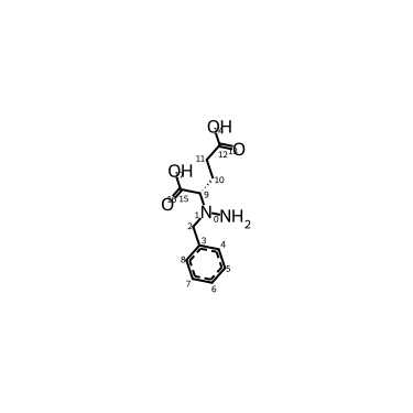 NN(Cc1ccccc1)[C@@H](CCC(=O)O)C(=O)O